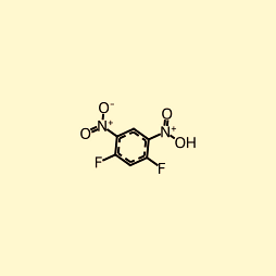 O=[N+]([O-])c1cc([N+](=O)O)c(F)cc1F